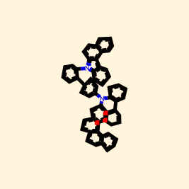 CC1=C=C(c2ccccc2N(c2ccc(-c3ccccc3-n3c4ccccc4c4c5ccccc5ccc43)cc2)c2ccc3c(ccc4ccc5ccccc5c43)c2)C=CC1